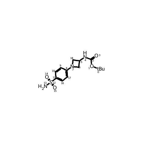 CC(C)(C)OC(=O)NC1CN(c2ccc(S(N)(=O)=O)cc2)C1